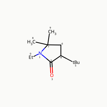 CCN1C(=O)C(C(C)(C)C)CC1(C)C